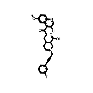 COc1ccc2ncc(Cl)c(C(=O)CCC3CCN(CC#Cc4cccc(F)c4)CC3C(=O)O)c2c1